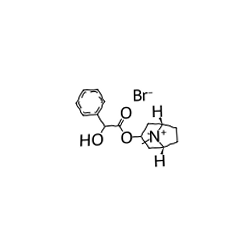 C[N+]1(C)[C@@H]2CC[C@H]1CC(OC(=O)C(O)c1ccccc1)C2.[Br-]